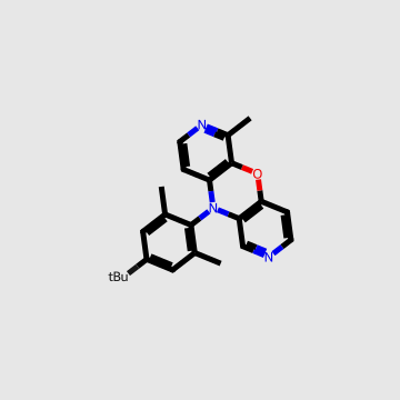 Cc1cc(C(C)(C)C)cc(C)c1N1c2cnccc2Oc2c1ccnc2C